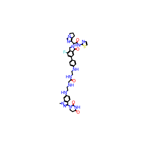 Cn1nc(N2CCC(=O)NC2=O)c2ccc(NCCNCC(=O)NCCNc3ccc(-c4cc(F)c5c(c4)C(=O)N(C(C(=O)Nc4nccs4)c4ncn6c4CCC6)C5)cc3)cc21